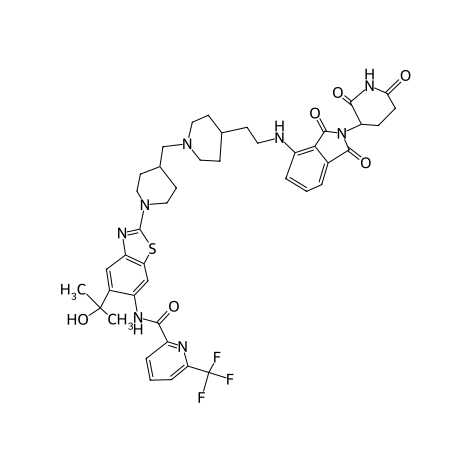 CC(C)(O)c1cc2nc(N3CCC(CN4CCC(CCNc5cccc6c5C(=O)N(C5CCC(=O)NC5=O)C6=O)CC4)CC3)sc2cc1NC(=O)c1cccc(C(F)(F)F)n1